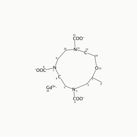 CC1CN(C(=O)[O-])CCN(C(=O)[O-])CCN(C(=O)[O-])CCO1.[Gd+3]